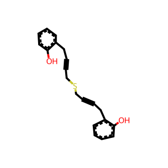 Oc1ccccc1CC#CCSCC#CCc1ccccc1O